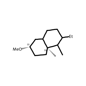 CCC1CCC2C[C@@H](OC)CC[C@]2(C)C1C